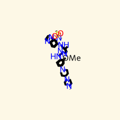 COc1cc(N2CCC(N3CCN(C)CC3)CC2)ccc1Nc1ncc(C)c(Nc2ccc3nccnc3c2N(C)S(C)(=O)=O)n1